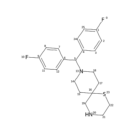 Fc1ccc(C(c2ccc(F)cc2)N2CCC3(CC2)CNCCS3)cc1